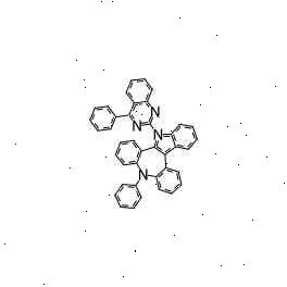 c1ccc(-c2nc(-n3c4c(c5ccccc53)-c3ccccc3N(c3ccccc3)c3ccccc3-4)nc3ccccc23)cc1